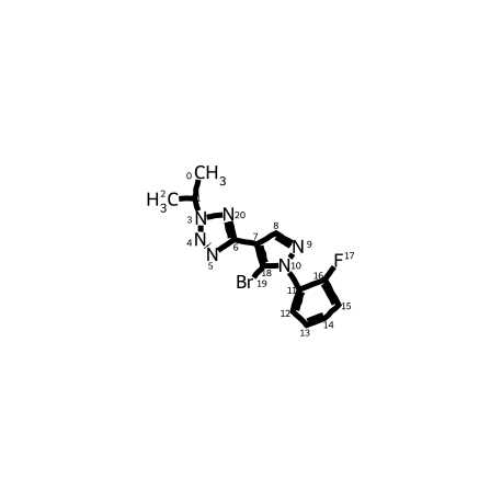 CC(C)n1nnc(-c2cnn(-c3ccccc3F)c2Br)n1